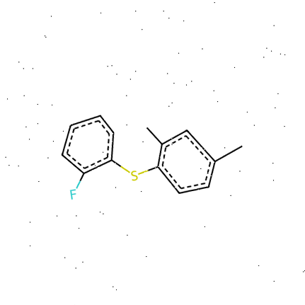 Cc1ccc(Sc2ccccc2F)c(C)c1